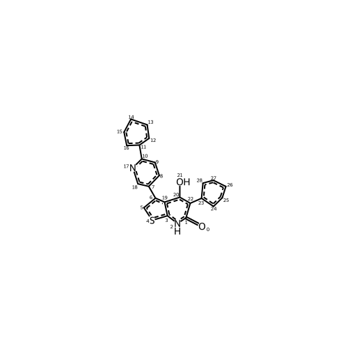 O=c1[nH]c2scc(-c3ccc(-c4ccccc4)nc3)c2c(O)c1-c1ccccc1